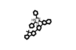 CC1(C)c2ccccc2-c2ccc(-c3ccc(-c4cc5ccccc5cc4C4=NC(c5ccccc5)NC(c5ccccc5)N4)cc3)cc21